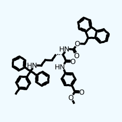 COC(=O)c1ccc(NC(=O)[C@H](CCCCNC(c2ccccc2)(c2ccccc2)c2ccc(C)cc2)NC(=O)OCC2c3ccccc3-c3ccccc32)cc1